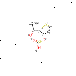 COC(=O)c1cccs1.O=[SH](=O)O